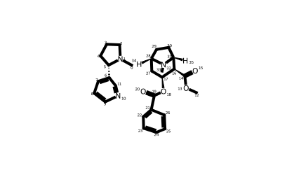 CN1CCC[C@H]1c1cccnc1.COC(=O)[C@H]1[C@@H](OC(=O)c2ccccc2)C[C@@H]2CC[C@H]1N2C